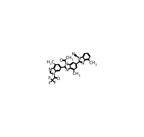 CC(=O)n1c(-c2cc(C)c3ncn(C(=O)C(F)(F)F)c3c2)nc2c(C)cc(-c3nc4c(C)cccc4n3C#N)cc21